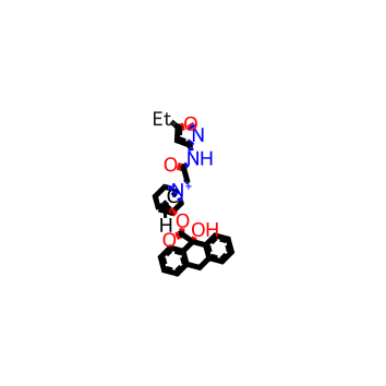 CCc1cc(NC(=O)C[N+]23CCC(CC2)[C@@H](OC(=O)C2(O)c4ccccc4Cc4ccccc42)C3)no1